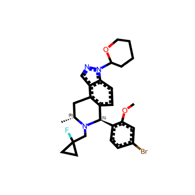 COc1cc(Br)ccc1[C@@H]1c2ccc3c(cnn3C3CCCCO3)c2C[C@@H](C)N1CC1(F)CC1